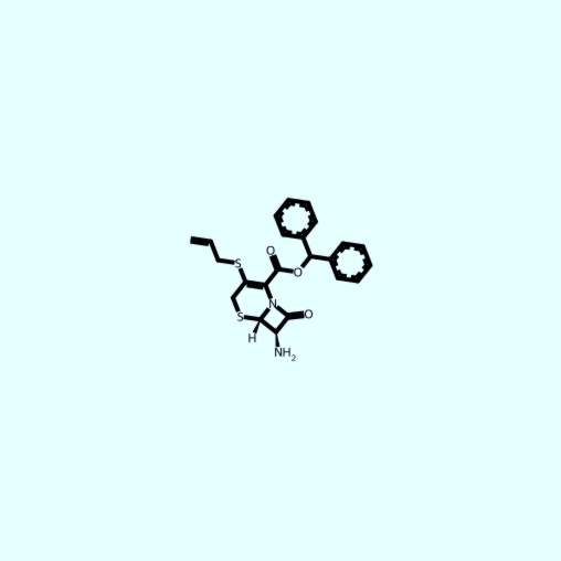 C=CCSC1=C(C(=O)OC(c2ccccc2)c2ccccc2)N2C(=O)[C@@H](N)[C@@H]2SC1